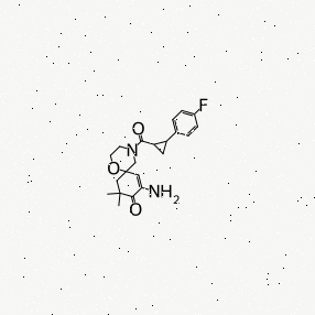 CC1(C)CC2(C=C(N)C1=O)CN(C(=O)C1CC1c1ccc(F)cc1)CCO2